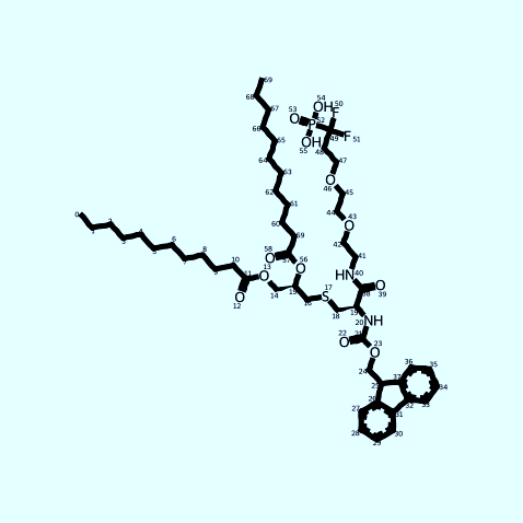 CCCCCCCCCCCC(=O)OC[C@H](CSC[C@H](NC(=O)OCC1c2ccccc2-c2ccccc21)C(=O)NCCOCCOCCC(F)(F)P(=O)(O)O)OC(=O)CCCCCCCCCCC